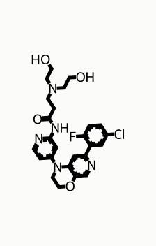 O=C(CCN(CCO)CCO)Nc1cc(N2CCOc3cnc(-c4cc(Cl)ccc4F)cc32)ccn1